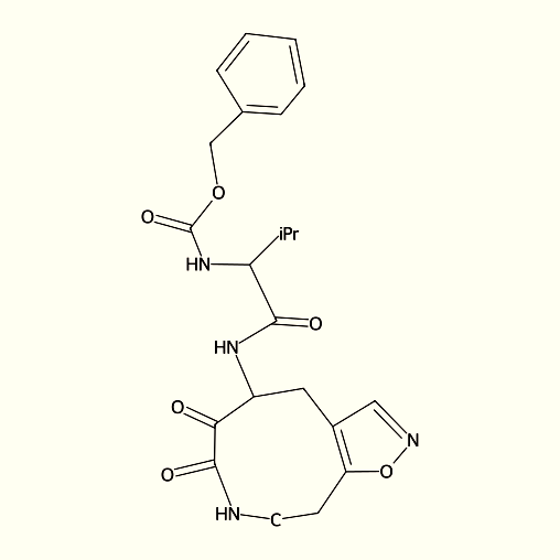 CC(C)C(NC(=O)OCc1ccccc1)C(=O)NC1Cc2cnoc2CCNC(=O)C1=O